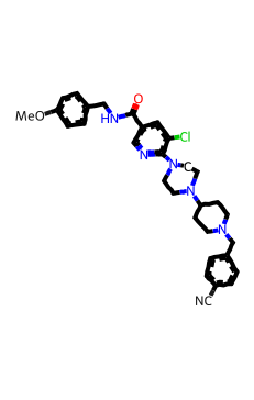 COc1ccc(CNC(=O)c2cnc(N3CCN(C4CCN(Cc5ccc(C#N)cc5)CC4)CC3)c(Cl)c2)cc1